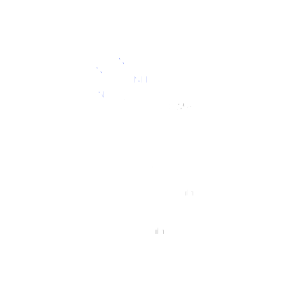 COc1cc2c(cc1-c1nnn[nH]1)CCC(C(C)C)C2C(C)C